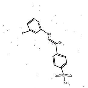 C/C(=N\Nc1cccc(F)c1)c1ccc(S(C)(=O)=O)cc1